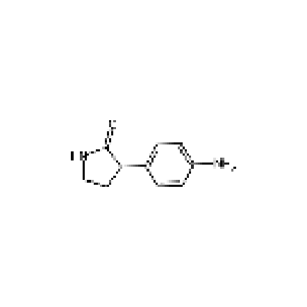 Nc1ccc(C2CCNC2=O)cc1